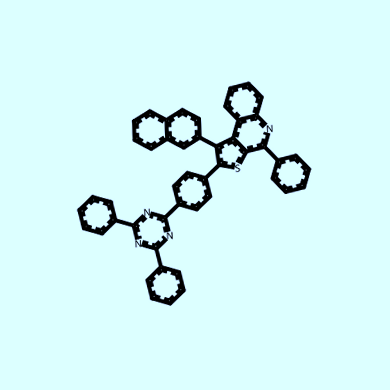 c1ccc(-c2nc(-c3ccccc3)nc(-c3ccc(-c4sc5c(-c6ccccc6)nc6ccccc6c5c4-c4ccc5ccccc5c4)cc3)n2)cc1